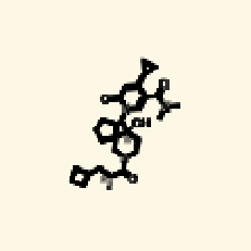 C[C@H](CC1CCC1)C(=O)N1CC[C@](O)(Cn2cc(C(=O)N(C)C)c(C3CC3)cc2=O)C2(CCCC2)C1